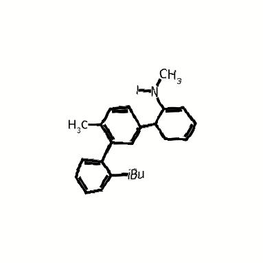 CCC(C)c1ccccc1-c1cc(C2CC=CC=C2N(C)I)ccc1C